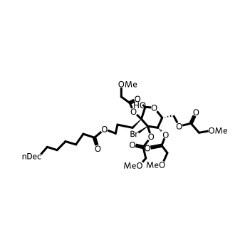 CCCCCCCCCCCCCCCC(=O)OCCC[C@@]1(OC(=O)COC)[C@@H](O)O[C@H](COC(=O)COC)[C@H](OC(=O)COC)[C@]1(Br)OC(=O)COC